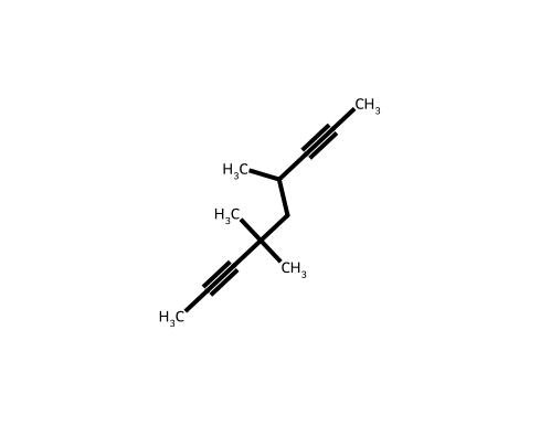 CC#CC(C)CC(C)(C)C#CC